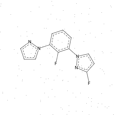 Fc1ccn(-c2cccc(-n3cccn3)c2F)n1